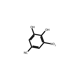 N#Cc1cc(O)c(O)c([N+](=O)[O-])c1